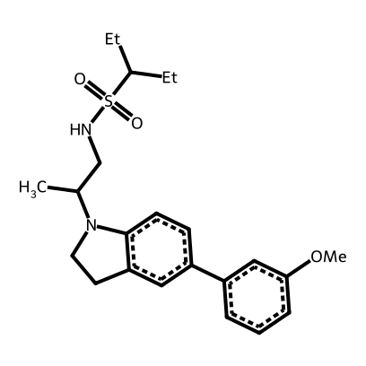 CCC(CC)S(=O)(=O)NCC(C)N1CCc2cc(-c3cccc(OC)c3)ccc21